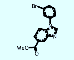 COC(=O)c1ccc2c(c1)ncn2-c1cccc(Br)c1